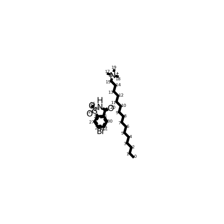 CCCCCCCCCCCCCCCC[N+](C)(C)C.O=C1NS(=O)(=O)c2ccccc21.[Br-]